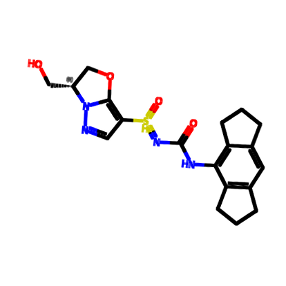 O=C(N=[SH](=O)c1cnn2c1OC[C@H]2CO)Nc1c2c(cc3c1CCC3)CCC2